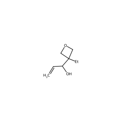 C=CC(O)C1(CC)COC1